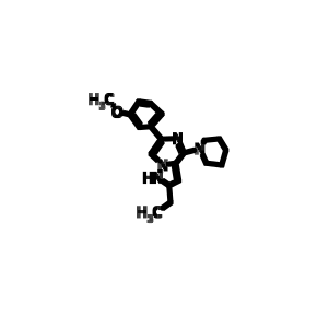 CCC1C=C2C(N3CCCCC3)=NC(c3cccc(OC)c3)=CN2N1